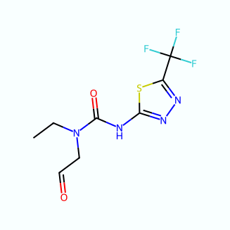 CCN(CC=O)C(=O)Nc1nnc(C(F)(F)F)s1